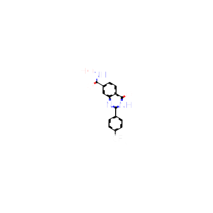 O=C(NO)c1ccc2c(=O)[nH]c(-c3ccc(C(F)(F)F)cc3)nc2c1